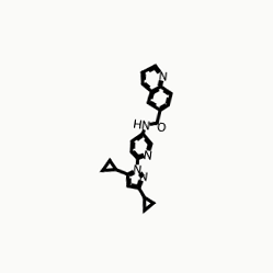 O=C(Nc1ccc(-n2nc(C3CC3)cc2C2CC2)nc1)c1ccc2ncccc2c1